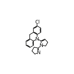 Clc1ccc2c(c1)Cc1ccccc1N2C1=CCCN1C1=NCCC1